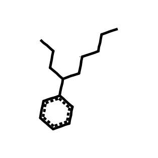 CCC[CH]CC(CCC)c1ccccc1